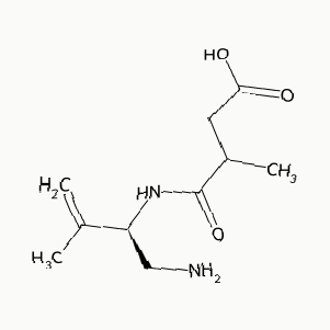 C=C(C)[C@H](CN)NC(=O)C(C)CC(=O)O